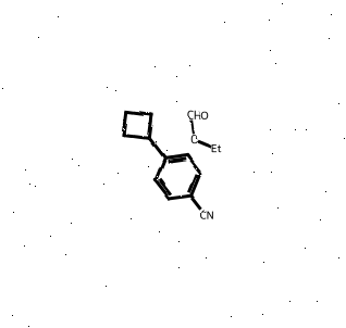 CCOC=O.N#Cc1ccc(C2CCC2)cc1